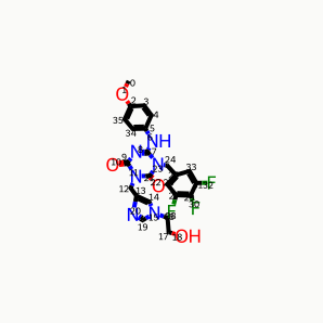 COc1ccc(Nc2nc(=O)n(Cc3cn(CCO)cn3)c(=O)n2Cc2cc(F)c(F)c(F)c2)cc1